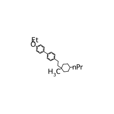 CCCC1CCC(C)(CCc2ccc(-c3ccc(OCC)cc3)cc2)CC1